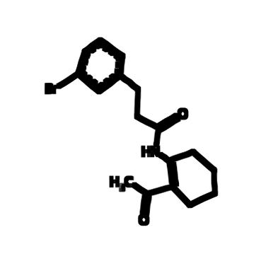 CC(=O)C1=C(NC(=O)CCc2cccc(Br)c2)CCCC1